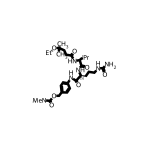 CCOC(C)(C)CCC(=O)NC(C(=O)N[C@@H](CCCNC(N)=O)C(=O)Nc1ccc(COC(=O)NC)cc1)C(C)C